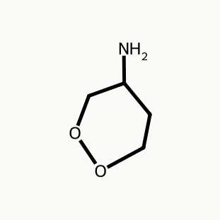 NC1CCOOC1